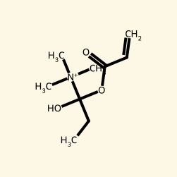 C=CC(=O)OC(O)(CC)[N+](C)(C)C